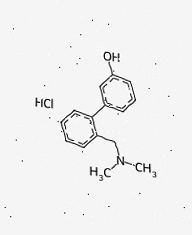 CN(C)Cc1ccccc1-c1cccc(O)c1.Cl